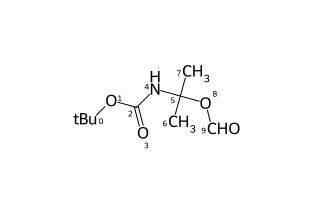 CC(C)(C)OC(=O)NC(C)(C)OC=O